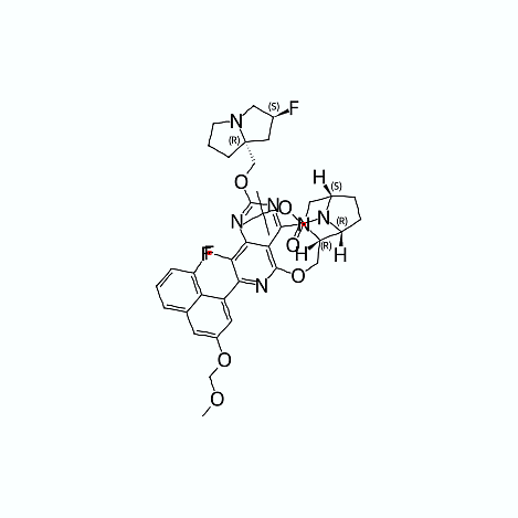 COCOc1cc(-c2nc3c4c(nc(OC[C@]56CCCN5C[C@@H](F)C6)nc4c2F)N2C[C@@H]4CC[C@H]([C@@H]2CO3)N4C(=O)OC(C)(C)C)c2c(F)cccc2c1